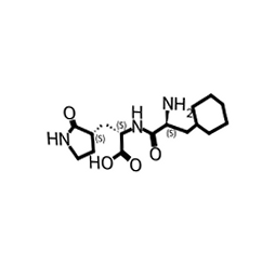 N[C@@H](CC1CCCCC1)C(=O)N[C@@H](C[C@@H]1CCNC1=O)C(=O)O